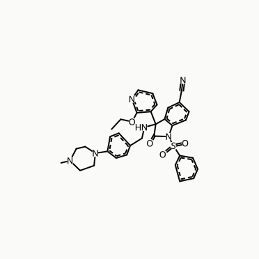 CCOc1ncccc1C1(NCc2ccc(N3CCN(C)CC3)cc2)C(=O)N(S(=O)(=O)c2ccccc2)c2ccc(C#N)cc21